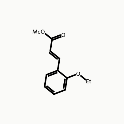 CCOc1ccccc1C=CC(=O)OC